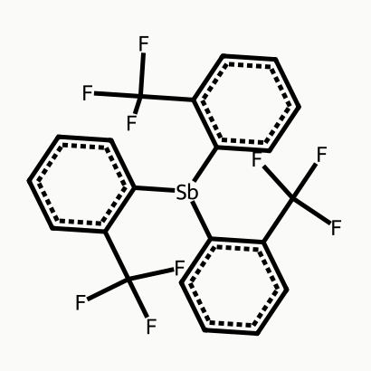 FC(F)(F)c1cccc[c]1[Sb]([c]1ccccc1C(F)(F)F)[c]1ccccc1C(F)(F)F